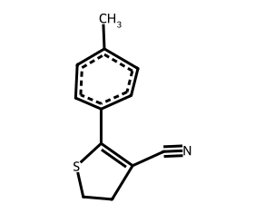 Cc1ccc(C2=C(C#N)CCS2)cc1